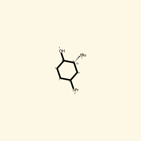 CCCC1CCC(O)[C@H](C(C)(C)C)C1